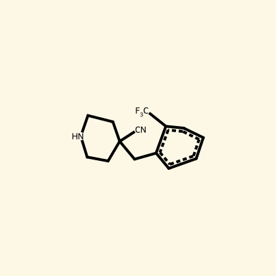 N#CC1(Cc2ccccc2C(F)(F)F)CCNCC1